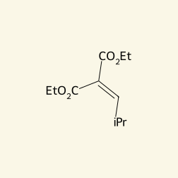 CCOC(=O)C(=CC(C)C)C(=O)OCC